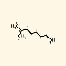 CC(C)CCCCCO